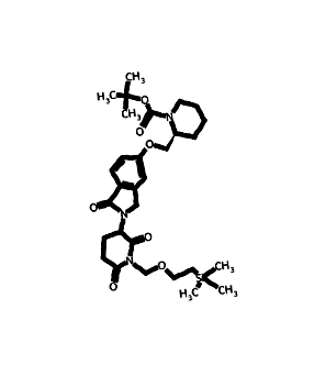 CC(C)(C)OC(=O)N1CCCC[C@H]1COc1ccc2c(c1)CN(C1CCC(=O)N(COCC[Si](C)(C)C)C1=O)C2=O